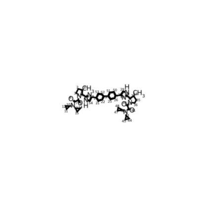 C[C@H]1CCN(C(=O)C(=O)N(C2CC2)C2CC2)C1c1nc(-c2ccc(-c3ccc(-c4c[nH]c(C5[C@@H](C)CCN5C(=O)C(=O)N(C5CC5)C5CC5)n4)cc3)cc2)c[nH]1